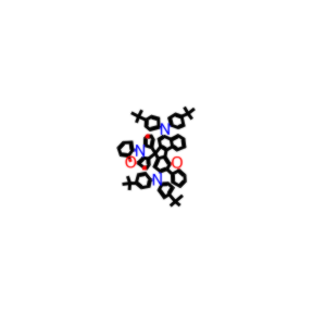 CC(C)(C)c1ccc(N(c2ccc(C(C)(C)C)cc2)c2cc3c(c4ccccc24)-c2c(cc(N(c4ccc(C(C)(C)C)cc4)c4ccc(C(C)(C)C)cc4)c4c2oc2ccccc24)C32c3ccccc3N3c4ccccc4Oc4cccc2c43)cc1